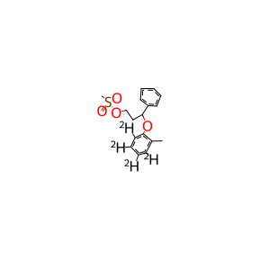 [2H]c1c([2H])c([2H])c(OC(CCOS(C)(=O)=O)c2ccccc2)c(C)c1[2H]